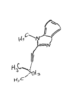 Cn1c(C#C[Si](C)(C)C)nc2ccccc21